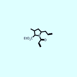 C=CCC1CC(C)C(C(=O)OCC)N1C(=O)C=C